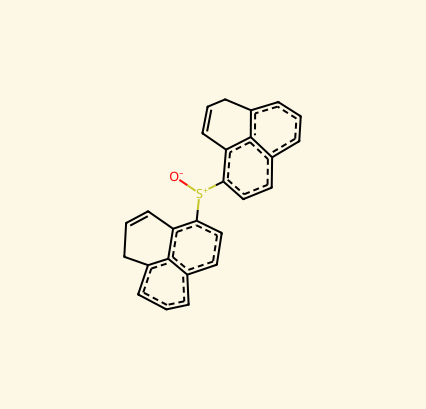 [O-][S+](c1ccc2cccc3c2c1C=CC3)c1ccc2cccc3c2c1C=CC3